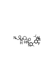 Cc1cnc(NC(=O)[C@H]2CCC[C@@H](NC(=O)CC#N)C2)cc1-c1cc(F)c2nn(C)c(C(C)C)c2c1